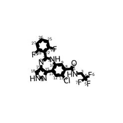 O=C(NCC(F)(F)F)c1cc2c(cc1Cl)-c1n[nH]cc1N=C(c1c(F)cccc1F)N2